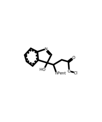 CCCCCC(CC(=O)OCl)C1(O)C=Nc2ccccc21